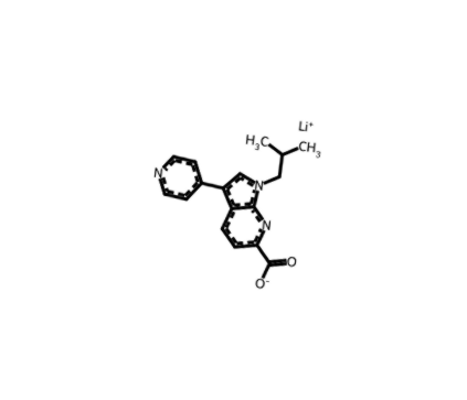 CC(C)Cn1cc(-c2ccncc2)c2ccc(C(=O)[O-])nc21.[Li+]